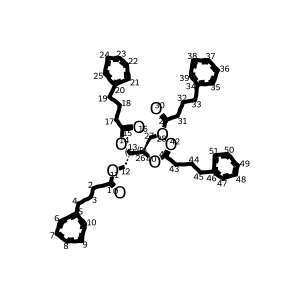 O=C(CCCc1ccccc1)OC[C@H](OC(=O)CCCc1ccccc1)[C@@H](COC(=O)CCCc1ccccc1)OC(=O)CCCc1ccccc1